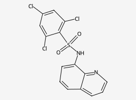 O=S(=O)(Nc1cccc2cccnc12)c1c(Cl)cc(Cl)cc1Cl